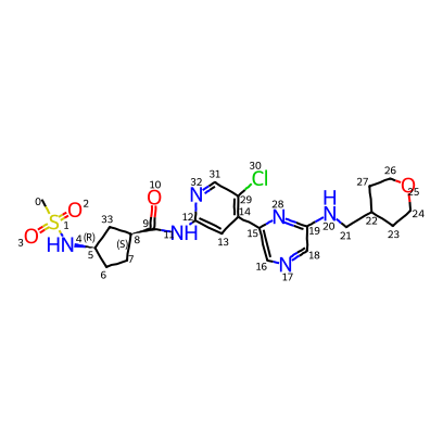 CS(=O)(=O)N[C@@H]1CC[C@H](C(=O)Nc2cc(-c3cncc(NCC4CCOCC4)n3)c(Cl)cn2)C1